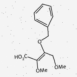 COC/C(OCc1ccccc1)=C(\OC)C(=O)O